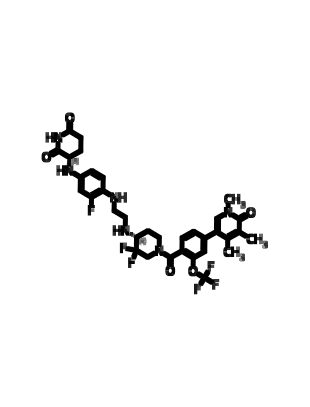 Cc1c(-c2ccc(C(=O)N3CC[C@@H](NCCNc4ccc(N[C@@H]5CCC(=O)NC5=O)cc4F)C(F)(F)C3)c(OC(F)(F)F)c2)cn(C)c(=O)c1C